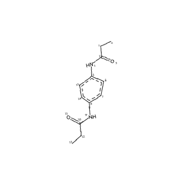 CCC(=O)Nc1ccc(NC(=O)CC)cc1